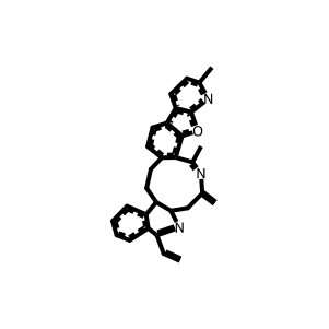 C=CC1=NC2CC(=C)/N=C(/C)c3c(ccc4c3oc3nc(C)ccc34)CCC2c2ccccc21